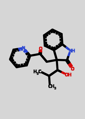 CC(C)C(O)C1(CC(=O)c2ccccn2)C(=O)Nc2ccccc21